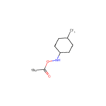 CC(C)(C)C(=O)ONC1CCC(C(F)(F)F)CC1